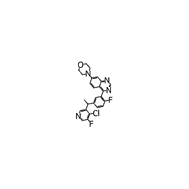 CC(c1ccc(F)c(-c2ncnc3cc(N4CCOCC4)ccc23)c1)c1cncc(F)c1Cl